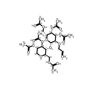 C=CCO[C@H]1[C@H](O[C@H]2[C@H](OC(C)=O)[C@@H](OC(C)=O)[CH]O[C@@H]2COC(C)=O)O[C@H](COC(C)=O)[C@H](OC(C)=O)[C@@H]1OC(C)=O